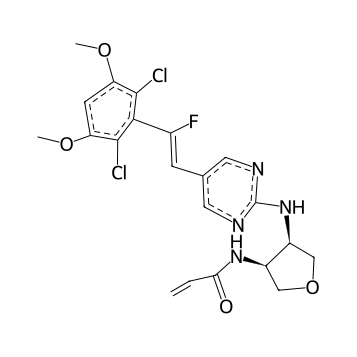 C=CC(=O)N[C@@H]1COC[C@@H]1Nc1ncc(/C=C(\F)c2c(Cl)c(OC)cc(OC)c2Cl)cn1